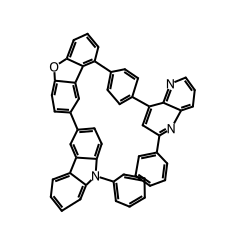 c1ccc(-c2cc(-c3ccc(-c4cccc5oc6ccc(-c7ccc8c(c7)c7ccccc7n8-c7ccccc7)cc6c45)cc3)c3ncccc3n2)cc1